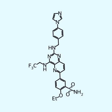 CCOc1ccc(-c2ccc3nc(NCc4ccc(-n5ccnc5)cc4)nc(NCC(F)(F)F)c3n2)cc1S(N)(=O)=O